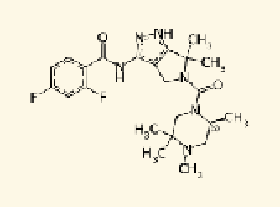 C[C@H]1CN(C)C(C)(C)CN1C(=O)N1Cc2c(NC(=O)c3ccc(F)cc3F)n[nH]c2C1(C)C